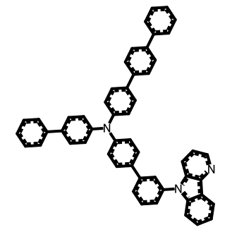 c1ccc(-c2ccc(-c3ccc(N(c4ccc(-c5ccccc5)cc4)c4ccc(-c5cccc(-n6c7ccccc7c7ncccc76)c5)cc4)cc3)cc2)cc1